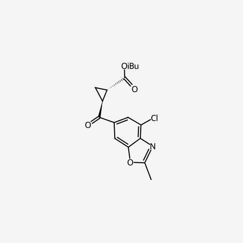 Cc1nc2c(Cl)cc(C(=O)[C@H]3C[C@@H]3C(=O)OCC(C)C)cc2o1